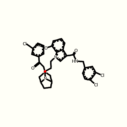 CC(C)Oc1cccc2c(C(=O)NCc3ccc(Cl)c(Cl)c3)cn(CCCN3C4CCC3CN(CC(=O)c3cccc(Cl)c3)C4)c12